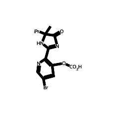 CC(C)C1(C)NC(c2ncc(Br)cc2OC(=O)O)=NC1=O